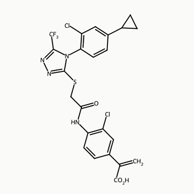 C=C(C(=O)O)c1ccc(NC(=O)CSc2nnc(C(F)(F)F)n2-c2ccc(C3CC3)cc2Cl)c(Cl)c1